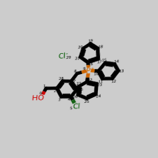 OCc1cc(Cl)cc(C[P+](c2ccccc2)(c2ccccc2)c2ccccc2)c1.[Cl-]